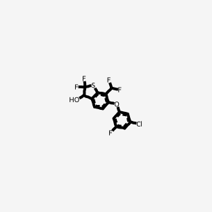 OC1c2ccc(Oc3cc(F)cc(Cl)c3)c(C(F)F)c2SC1(F)F